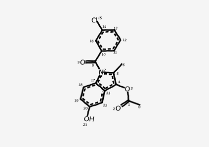 CC(=O)Oc1c(C)n(C(=O)c2cccc(Cl)c2)c2ccc(O)cc12